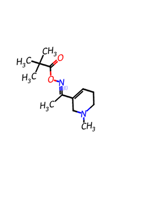 C/C(=N\OC(=O)C(C)(C)C)C1=CCCN(C)C1